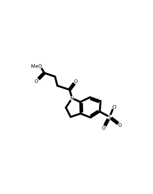 COC(=O)CCC(=O)N1CCc2cc(S(=O)(=O)Cl)ccc21